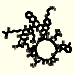 CC(=O)NCCCC[C@H](NC(=O)C(C)(CCCCN)NC(=O)[C@H](Cc1ccc2ccccc2c1)NC(=O)[C@H](Cc1ccc(OCCN)cc1)NC(=O)[C@H]1NC(=O)[C@H](CCC(N)=O)NC(=O)[C@H](Cc2c[nH]c3c(C)cccc23)NC(O)[C@H]([C@@H](C)O)NC(=O)[C@H](CC(N)=O)NC(=O)[C@@H](NC(C)=O)C(C)(C)SSC1(C)C)C(=O)N[C@@H](CC(N)=O)C(=O)NCCC(N)=O